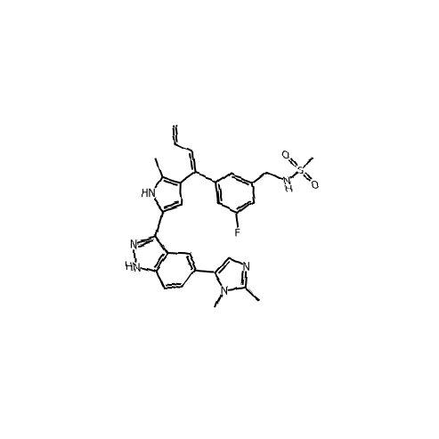 C=C/C=C(/c1cc(F)cc(CNS(C)(=O)=O)c1)c1cc(-c2n[nH]c3ccc(-c4cnc(C)n4C)cc23)[nH]c1C